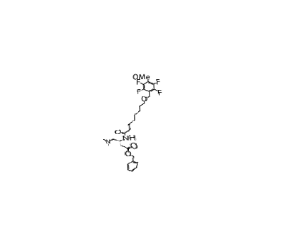 COc1c(F)c(F)c(COCCCCCCCC(=O)N[C@H](CC(=O)OCc2ccccc2)CN(C)C)c(F)c1F